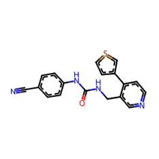 N#Cc1ccc(NC(=O)NCc2cnccc2-c2ccsc2)cc1